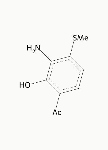 CSc1ccc(C(C)=O)c(O)c1N